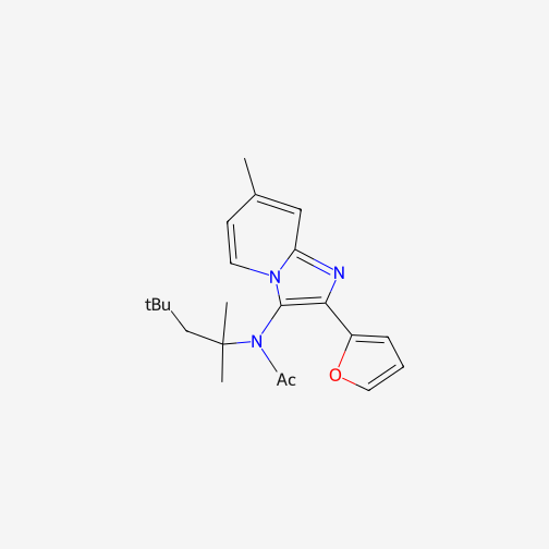 CC(=O)N(c1c(-c2ccco2)nc2cc(C)ccn12)C(C)(C)CC(C)(C)C